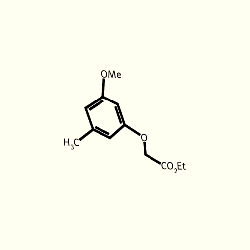 CCOC(=O)COc1cc(C)cc(OC)c1